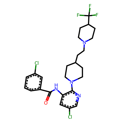 O=C(Nc1cc(Cl)cnc1N1CCC(CCN2CCC(C(F)(F)F)CC2)CC1)c1cccc(Cl)c1